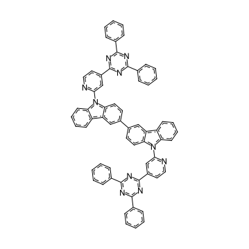 c1ccc(-c2nc(-c3ccccc3)nc(-c3ccnc(-n4c5ccccc5c5cc(-c6ccc7c(c6)c6ccccc6n7-c6cc(-c7nc(-c8ccccc8)nc(-c8ccccc8)n7)ccn6)ccc54)c3)n2)cc1